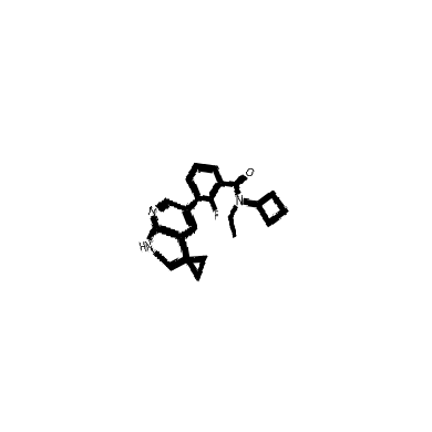 CCN(C(=O)c1cccc(-c2cnc3c(c2)C2(CC2)CN3)c1F)C1CCC1